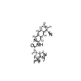 Cn1ncc([C@H]2C[C@@H]2C(=O)Nc2cc3cc([C@]4(C#N)CC45CC5)ccc3cn2)c1C(F)(F)F